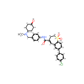 CN(Cc1ccc(NC(=O)C2=Cc3cc(-c4ccc(Cl)cc4)ccc3S(=O)(=O)CC2)cc1)C1CCC(=O)CC1